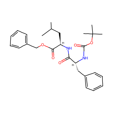 CC(C)C[C@@H](NC(=O)[C@@H](Cc1ccccc1)NC(=O)OC(C)(C)C)C(=O)OCc1ccccc1